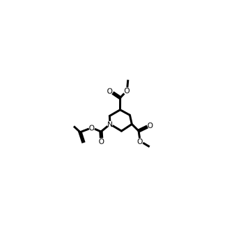 C=C(C)OC(=O)N1CC(C(=O)OC)CC(C(=O)OC)C1